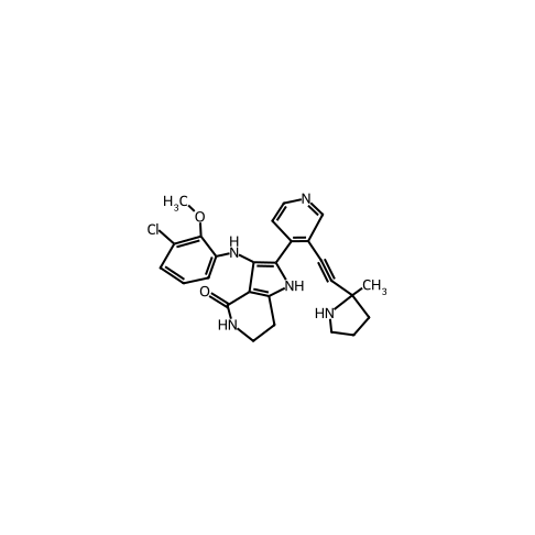 COc1c(Cl)cccc1Nc1c(-c2ccncc2C#CC2(C)CCCN2)[nH]c2c1C(=O)NCC2